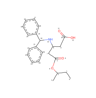 CCC(C)OC(=O)CC(CC(=O)O)NC(c1ccccc1)c1ccccc1